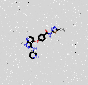 Cc1nnc(NC(=O)c2ccc(Oc3ccnc4[nH]nc(N[C@@H]5CCCNC5)c34)cc2)s1